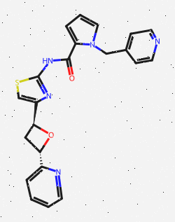 O=C(Nc1nc([C@@H]2C[C@@H](c3ccccn3)O2)cs1)c1cccn1Cc1ccncc1